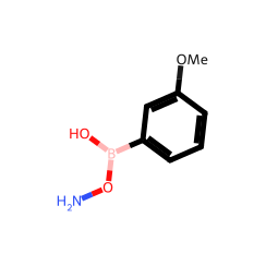 COc1cccc(B(O)ON)c1